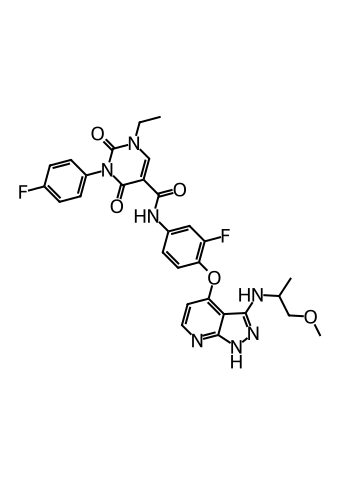 CCn1cc(C(=O)Nc2ccc(Oc3ccnc4[nH]nc(NC(C)COC)c34)c(F)c2)c(=O)n(-c2ccc(F)cc2)c1=O